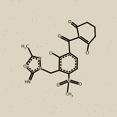 Cc1nn(Cc2c(S(C)(=O)=O)ccc(C(=O)C3=C(Cl)CCCC3=O)c2Cl)c(=N)o1